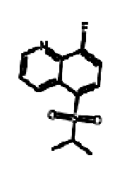 CC(C)S(=O)(=O)c1ccc(F)c2ncccc12